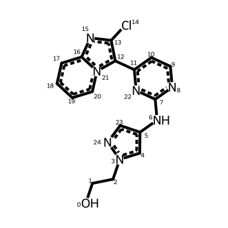 OCCn1cc(Nc2nccc(-c3c(Cl)nc4ccccn34)n2)cn1